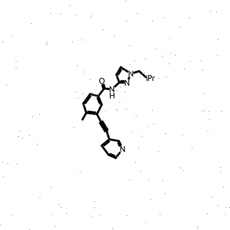 Cc1ccc(C(=O)Nc2ccn(CC(C)C)n2)cc1C#Cc1cccnc1